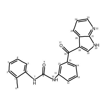 Cc1ccccc1NC(=O)Nc1cccc(C(=O)c2c[nH]c3ncccc23)c1